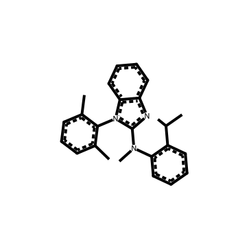 Cc1cccc(C)c1-n1c(N(C)c2ccccc2C(C)C)nc2ccccc21